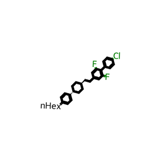 CCCCCCc1ccc([C@H]2CC[C@H](CCc3cc(F)c(-c4ccc(Cl)cc4)c(F)c3)CC2)cc1